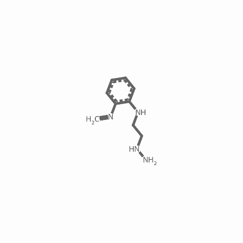 C=Nc1ccccc1NCCNN